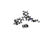 Cc1ccc2c(n1)c(CCc1ccc(S(C)(=O)=O)cc1)c(C)n2C/C(F)=C/CN.Cl.Cl